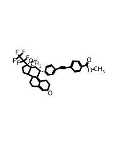 COC(=O)c1ccc(C#Cc2ccc([C@H]3C[C@@]4(C)C(CC[C@@]4(O)C(F)(F)C(F)(F)F)C4CCC5=CC(=O)CCC5=C43)cc2)cc1